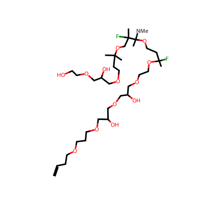 C=CCCOCCCOCC(O)COCC(O)COCCOC(C)(F)CCOC(C)(NC)C(C)(F)COC(C)(C)CCOCC(O)COCCO